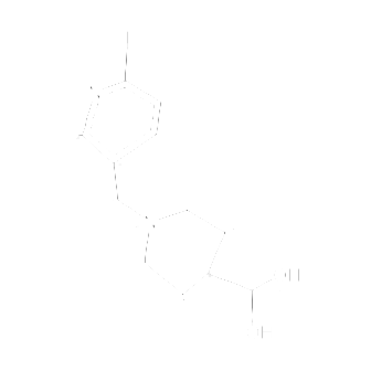 OC(O)C1CCN(Cc2ccc(I)nc2)CC1